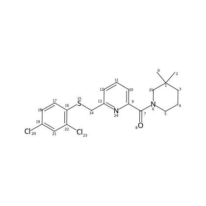 CC1(C)CCCN(C(=O)c2cccc(CSc3ccc(Cl)cc3Cl)n2)C1